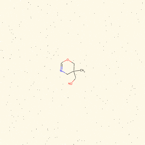 CC1(CO)CN=COC1